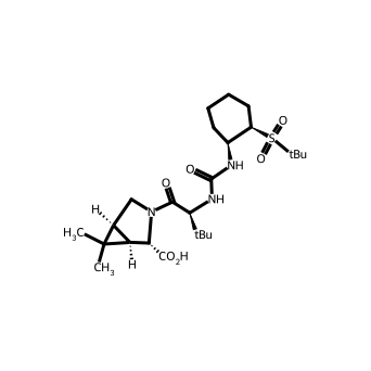 CC(C)(C)[C@H](NC(=O)N[C@H]1CCCC[C@H]1S(=O)(=O)C(C)(C)C)C(=O)N1C[C@H]2[C@@H]([C@H]1C(=O)O)C2(C)C